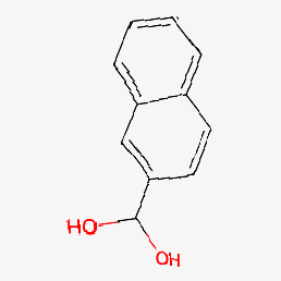 OC(O)c1ccc2c[c]ccc2c1